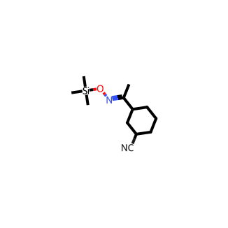 CC(=NO[Si](C)(C)C)C1CCCC(C#N)C1